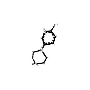 [O]c1ccc(N2CCNCC2)cn1